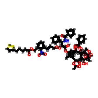 CC(=O)OC1C(=O)C2(C)[C@@H](O)CC3OC[C@@]3(OC(C)=O)[C@H]2[C@H](OC(=O)c2ccccc2)C2(O)C[C@H](OC(=O)[C@H](OOC/C=C/c3cccc(COC(=O)CCCCC4CCSS4)c3[N+](=O)[O-])[C@@H](NC(=O)c3ccccc3)c3ccccc3)C(C)=C1C2(C)C